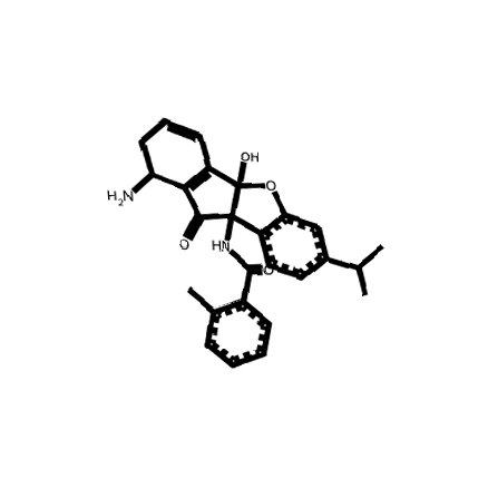 Cc1ccccc1C(=O)NC12C(=O)C3=C(C=CCC3N)C1(O)Oc1cc(C(C)C)ccc12